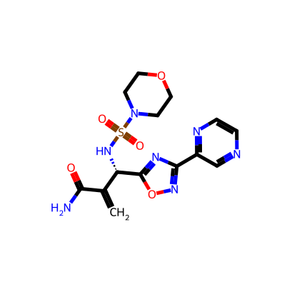 C=C(C(N)=O)[C@H](NS(=O)(=O)N1CCOCC1)c1nc(-c2cnccn2)no1